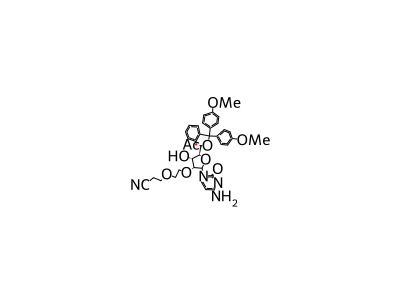 COc1ccc(C(OC(C(C)=O)[C@H]2O[C@@H](n3ccc(N)nc3=O)[C@H](OCCOCCC#N)[C@@H]2O)(c2ccccc2)c2ccc(OC)cc2)cc1